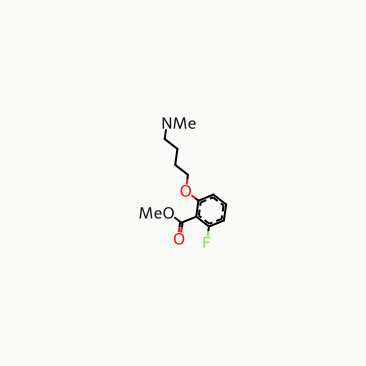 CNCCCCOc1cccc(F)c1C(=O)OC